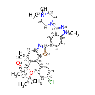 CC(=O)[C@@H](OC(C)(C)C)c1c(C)cc2nc(-c3ccc4c(c3)c(N3CC[N+](C)(C)CC3)nn4C)sc2c1-c1ccc(Cl)cc1